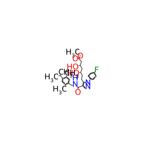 COC(=O)CC(O)CC(O)CCc1c(C(=O)NCc2cc(C)c(C(C)C)cc2C)cnn1-c1ccc(F)cc1